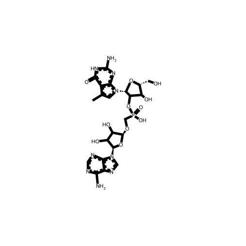 Cc1cn([C@@H]2O[C@H](CO)C(O)C2OP(=O)(O)CO[C@H]2O[C@@H](n3cnc4c(N)ncnc43)C(O)C2O)c2nc(N)[nH]c(=O)c12